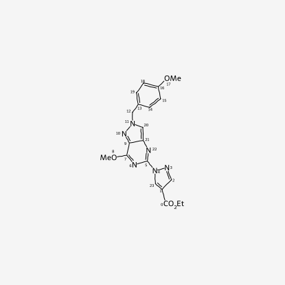 CCOC(=O)c1cnn(-c2nc(OC)c3nn(Cc4ccc(OC)cc4)cc3n2)c1